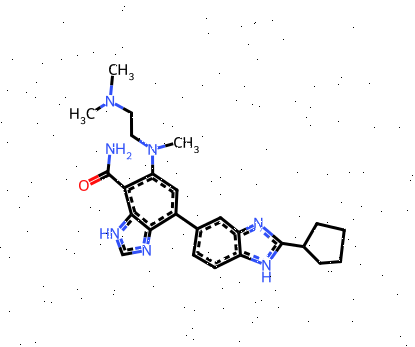 CN(C)CCN(C)c1cc(-c2ccc3[nH]c(C4CCCC4)nc3c2)c2nc[nH]c2c1C(N)=O